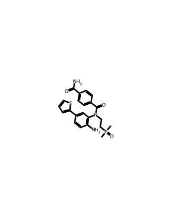 CP(C)(=O)CCN(C(=O)c1ccc(C(N)=O)cc1)c1cc(-c2cccs2)ccc1N